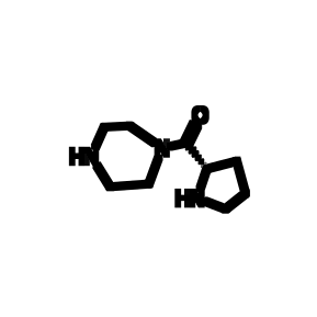 O=C([C@@H]1CCCN1)N1CCNCC1